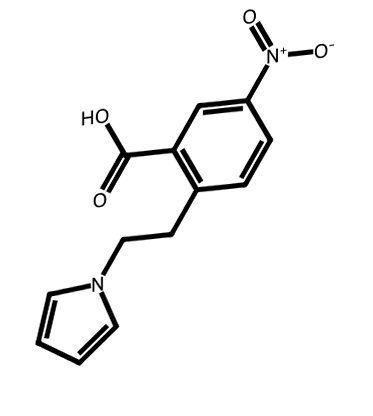 O=C(O)c1cc([N+](=O)[O-])ccc1CCn1cccc1